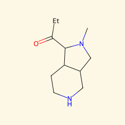 CCC(=O)C1C2CCNCC2CN1C